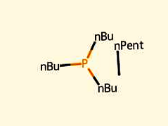 CCCCCC.CCCCP(CCCC)CCCC